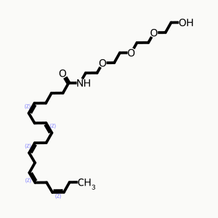 CC/C=C\C/C=C\C/C=C\C/C=C\C/C=C\CCCC(=O)NCCOCCOCCOCCO